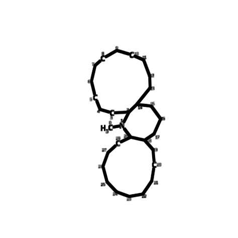 CN1C2CCCCCCCCCCCC2CCCC2CCCCCCCCCCC21